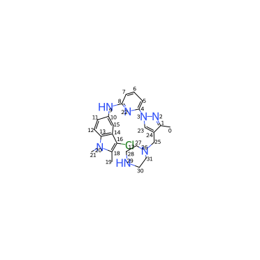 Cc1nn(-c2cccc(Nc3ccc4c(c3)c(Cl)c(C)n4C)n2)cc1CN1CCNCC1